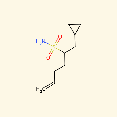 C=CCCC(CC1CC1)S(N)(=O)=O